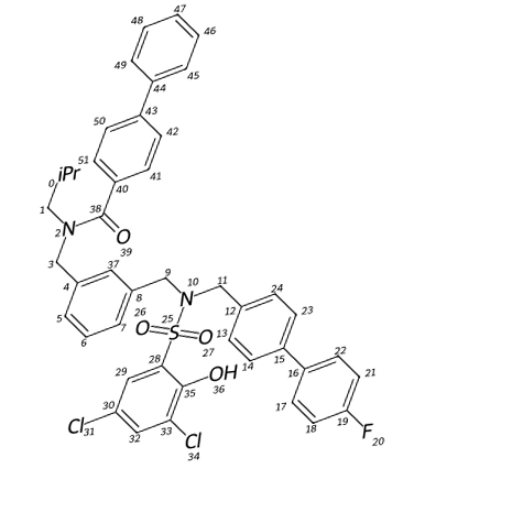 CC(C)CN(Cc1cccc(CN(Cc2ccc(-c3ccc(F)cc3)cc2)S(=O)(=O)c2cc(Cl)cc(Cl)c2O)c1)C(=O)c1ccc(-c2ccccc2)cc1